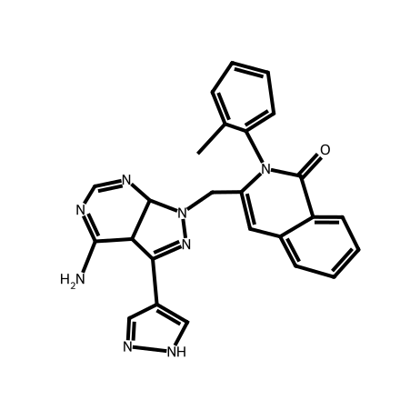 Cc1ccccc1-n1c(CN2N=C(c3cn[nH]c3)C3C(N)=NC=NC32)cc2ccccc2c1=O